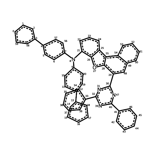 c1ccc(-c2ccc(N(c3ccc(-c4ccccc4)cc3)c3cccc4c3oc3c(-c5nc(-c6ccccc6)nc(-c6ccccc6)n5)cc5ccccc5c34)cc2)cc1